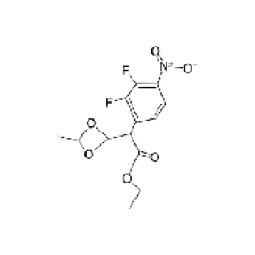 CCOC(=O)C(c1ccc([N+](=O)[O-])c(F)c1F)C1OC(C)O1